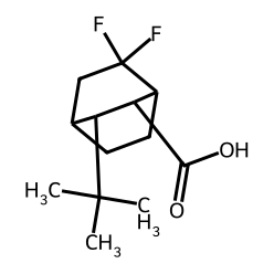 CC(C)(C)C1C2CCC(C1C(=O)O)C(F)(F)C2